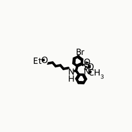 CCOCCCCCCNC1c2ccccc2N(C)S(=O)(=O)c2cc(Br)ccc21